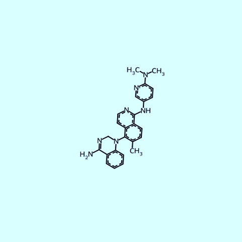 Cc1ccc2c(Nc3ccc(N(C)C)nc3)nccc2c1N1CN=C(N)c2ccccc21